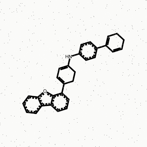 C1=CC(c2ccc(NC3=CC=C(c4cccc5c4oc4ccccc45)CC3)cc2)=CCC1